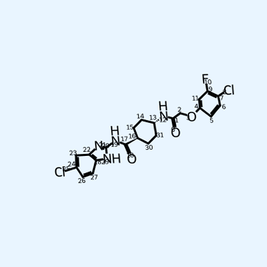 O=C(COc1ccc(Cl)c(F)c1)N[C@H]1CC[C@H](C(=O)Nc2nc3cc(Cl)ccc3[nH]2)CC1